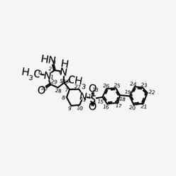 CN1C(=N)N[C@](C)(C2CCCN(S(=O)(=O)c3ccc(-c4ccccc4)cc3)C2)CC1=O